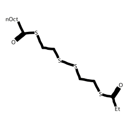 CCCCCCCCC(=O)SCCSSCCSC(=O)CC